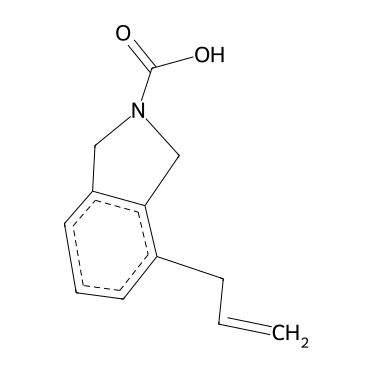 C=CCc1cccc2c1CN(C(=O)O)C2